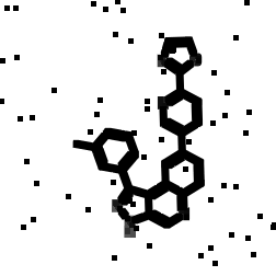 Cc1cccc(-c2n[nH]c3cnc4ccc(-c5ccc(-c6ncco6)nc5)cc4c23)c1